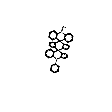 CC(C)(C)N1c2ccccc2C2(c3ccccc31)c1ccccc1C1(c3ccccc3N(c3ccccc3)c3ccccc31)c1ccccc12